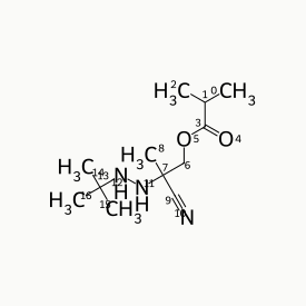 CC(C)C(=O)OCC(C)(C#N)NNC(C)(C)C